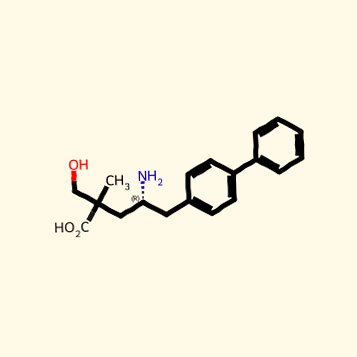 CC(CO)(C[C@H](N)Cc1ccc(-c2ccccc2)cc1)C(=O)O